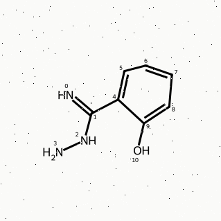 N=C(NN)c1ccccc1O